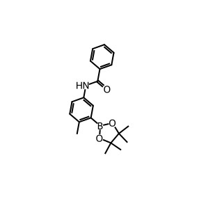 Cc1ccc(NC(=O)c2ccccc2)cc1B1OC(C)(C)C(C)(C)O1